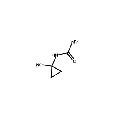 CCCC(=O)NC1(C#N)CC1